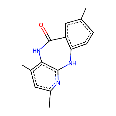 Cc1ccc2c(c1)C(=O)Nc1c(C)cc(C)nc1N2